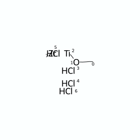 C[O][Ti].Cl.Cl.Cl.Cl.[Zr]